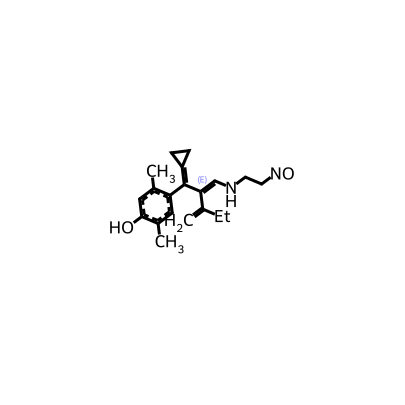 C=C(CC)/C(=C\NCCN=O)C(=C1CC1)c1cc(C)c(O)cc1C